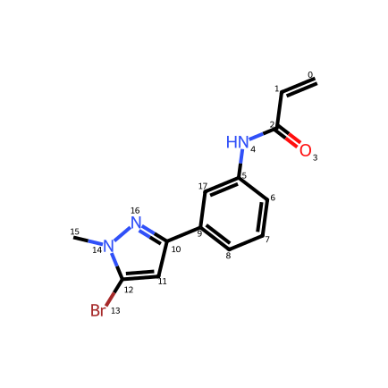 C=CC(=O)Nc1cccc(-c2cc(Br)n(C)n2)c1